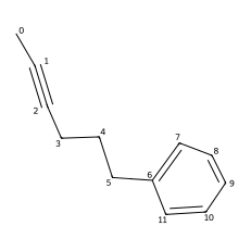 CC#CCCCc1ccccc1